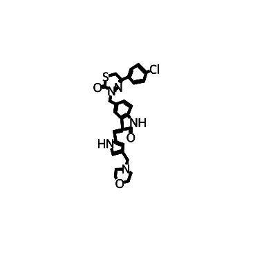 O=C1Nc2ccc(CN3N=C(c4ccc(Cl)cc4)CSC3=O)cc2/C1=C/c1cc(CN2CCOCC2)c[nH]1